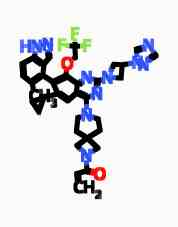 C=CC(=O)N1CC2(CCN(c3nc(N4CC(n5cncn5)C4)nc4c(OCC(F)(F)F)c(-c5c(C)ccc6[nH]ncc56)c(C5CC5)cc34)CC2)C1